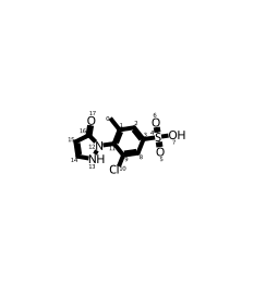 Cc1cc(S(=O)(=O)O)cc(Cl)c1-n1[nH]ccc1=O